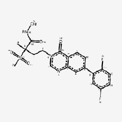 CC(CCn1cnc2cc(-c3cc(F)ccc3F)ccc2c1=O)(C(=O)NO)S(C)(=O)=O